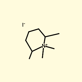 CC1CCCC(C)[N+]1(C)C.[I-]